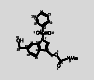 CNC(=O)OCc1cn(S(=O)(=O)c2cccnc2)c2cc(CO)ccc12